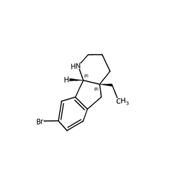 CC[C@]12CCCN[C@H]1c1cc(Br)ccc1C2